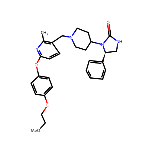 COCCOc1ccc(Oc2ccc(CN3CCC(N4C(=O)NC[C@H]4c4ccccc4)CC3)c(C)n2)cc1